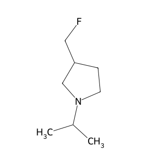 CC(C)N1CCC(CF)C1